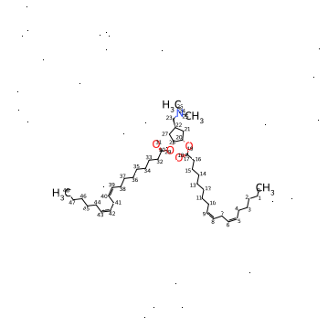 CCCCC/C=C\C/C=C\CCCCCCCC(=O)O[C@H]1C[C@H](CN(C)C)C[C@H]1OC(=O)CCCCCCC/C=C\C/C=C\CCCCC